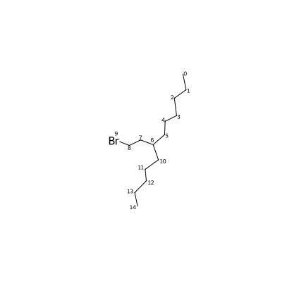 CCCCCCC(CCBr)CCCCC